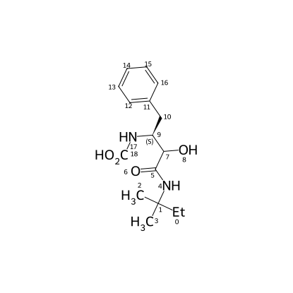 CCC(C)(C)NC(=O)C(O)[C@H](Cc1ccccc1)NC(=O)O